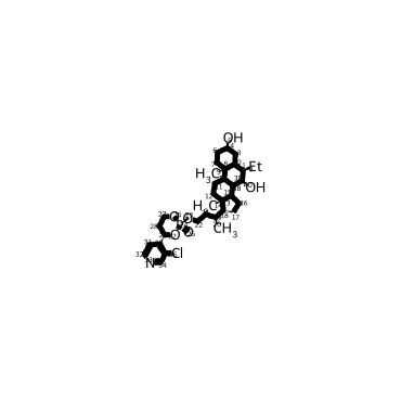 CC[C@@H]1C2C[C@H](O)CC[C@]2(C)C2CC[C@@]3(C)C(CC[C@@H]3[C@H](C)CCO[P@]3(=O)OCC[C@@H](c4ccncc4Cl)O3)C2[C@@H]1O